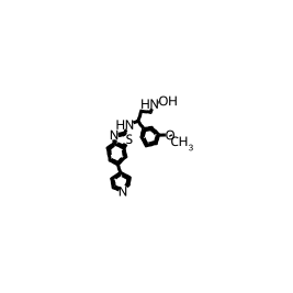 COc1cccc(C(CCNO)Nc2nc3ccc(-c4ccncc4)cc3s2)c1